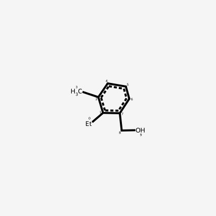 CCc1c(C)cccc1CO